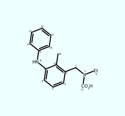 CCN(Cc1cccc(Nc2ccccc2)c1C)C(=O)O